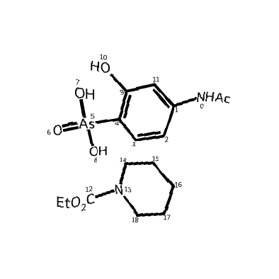 CC(=O)Nc1ccc([As](=O)(O)O)c(O)c1.CCOC(=O)N1CCCCC1